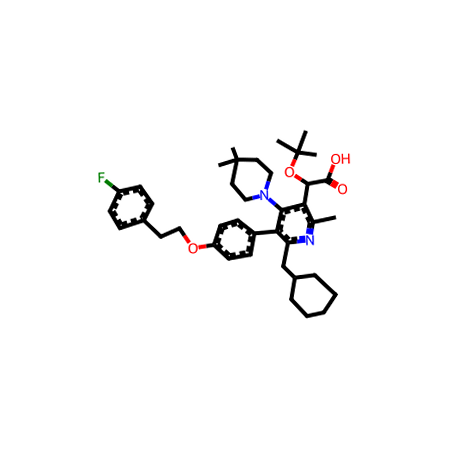 Cc1nc(CC2CCCCC2)c(-c2ccc(OCCc3ccc(F)cc3)cc2)c(N2CCC(C)(C)CC2)c1C(OC(C)(C)C)C(=O)O